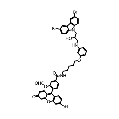 O=COc1cc(C(=O)NCCCCCOc2cccc(NCC(O)Cn3c4ccc(Br)cc4c4cc(Br)ccc43)c2)ccc1-c1c2ccc(=O)cc-2oc2cc(O)ccc12